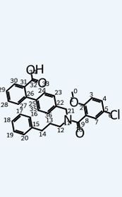 COc1ccc(Cl)cc1C(=O)N(CCCc1ccccc1)Cc1ccc(-c2ccccc2C(=O)O)cc1